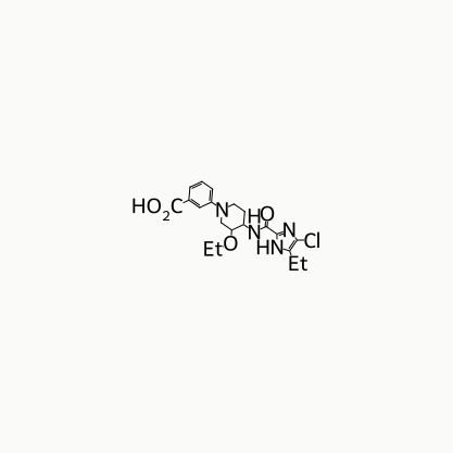 CCOC1CN(c2cccc(C(=O)O)c2)CCC1NC(=O)c1nc(Cl)c(CC)[nH]1